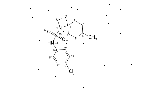 CC1CCC2(CC1)CCN2S(=O)(=O)Nc1ccc(Cl)cc1